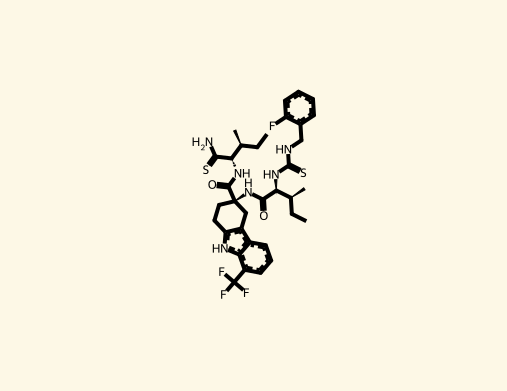 CC[C@H](C)[C@H](NC(=S)NCc1ccccc1F)C(=O)N[C@]1(C(=O)N[C@H](C(N)=S)[C@@H](C)CC)CCc2[nH]c3c(C(F)(F)F)cccc3c2C1